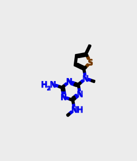 CNc1nc(N)nc(N(C)c2ccc(C)s2)n1